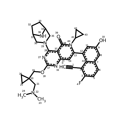 C#Cc1c(F)ccc2cc(O)cc(-c3cc4nc(OCC5(CN(C)C)CC5)nc(N5CC6CCC(C5)N6)c4c(=O)n3C3CC3)c12